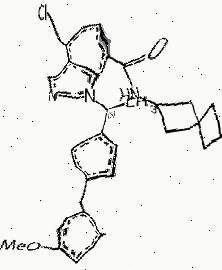 COc1cccc(-c2ccc([C@H](C)n3ncc4c(Cl)ccc(C(=O)NC5CC6(CCC6)C5)c43)cc2)c1